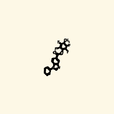 Cc1c(F)c(F)c(OC(=O)c2ccc3c(c2)ncn3-c2ccccc2)c(F)c1F